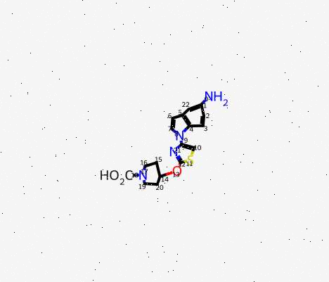 Nc1ccc2c(ccn2-c2csc(OC3CCN(C(=O)O)CC3)n2)c1